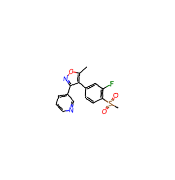 Cc1onc(-c2cccnc2)c1-c1ccc(S(C)(=O)=O)c(F)c1